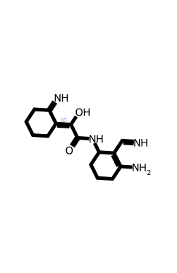 N=CC1=C(N)CCCC1NC(=O)/C(O)=C1\CCCCC1=N